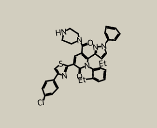 CCc1cccc(CC)c1-n1c(-c2ccn(-c3ccccc3)n2)c(C(=O)N2CCNCC2)cc(-c2nc(-c3ccc(Cl)cc3)cs2)c1=O